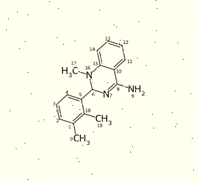 Cc1cccc(C2N=C(N)c3ccccc3N2C)c1C